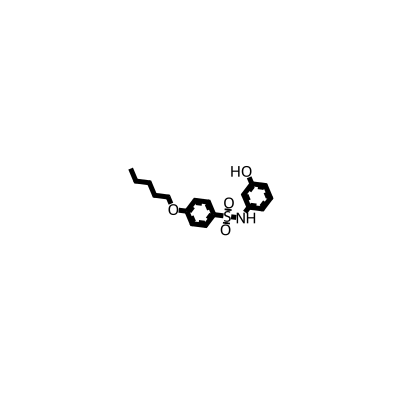 CCCCCOc1ccc(S(=O)(=O)Nc2cccc(O)c2)cc1